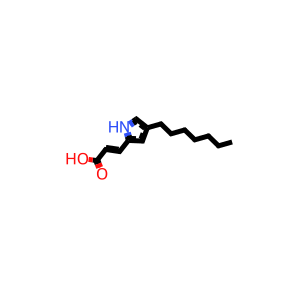 CCCCCCCc1c[nH]c(C=CC(=O)O)c1